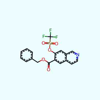 O=C(OCc1ccccc1)c1cc2ccncc2cc1OS(=O)(=O)C(F)(F)F